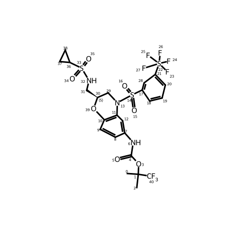 CC(C)(OC(=O)Nc1ccc2c(c1)N(S(=O)(=O)c1cccc(S(F)(F)(F)(F)F)c1)C[C@H](CNS(=O)(=O)C1CC1)O2)C(F)(F)F